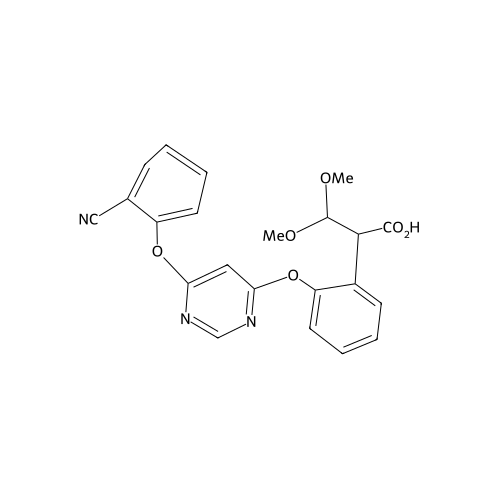 COC(OC)C(C(=O)O)c1ccccc1Oc1cc(Oc2ccccc2C#N)ncn1